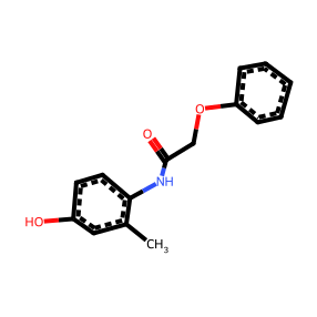 Cc1cc(O)ccc1NC(=O)COc1ccccc1